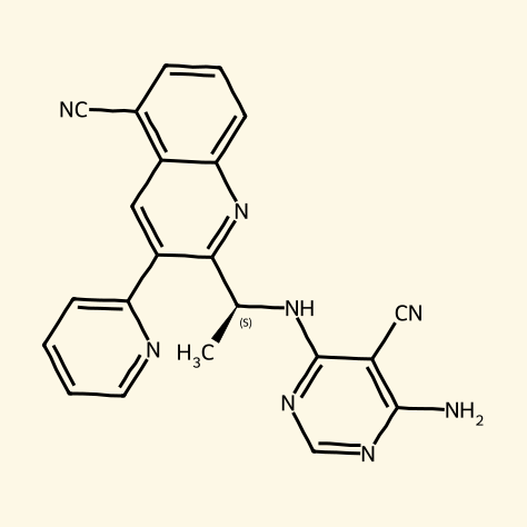 C[C@H](Nc1ncnc(N)c1C#N)c1nc2cccc(C#N)c2cc1-c1ccccn1